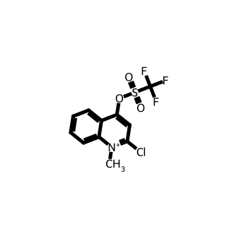 C[n+]1c(Cl)cc(OS(=O)(=O)C(F)(F)F)c2ccccc21